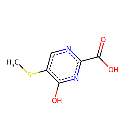 CSc1cnc(C(=O)O)nc1O